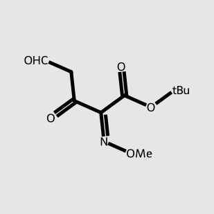 CON=C(C(=O)CC=O)C(=O)OC(C)(C)C